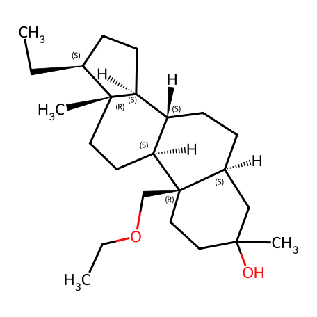 CCOC[C@]12CCC(C)(O)C[C@@H]1CC[C@H]1[C@@H]3CC[C@H](CC)[C@@]3(C)CC[C@@H]12